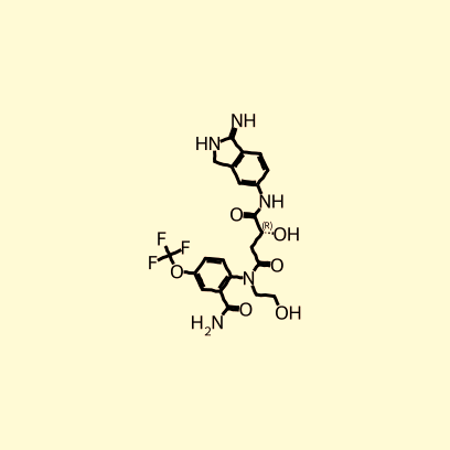 N=C1NCc2cc(NC(=O)[C@H](O)CC(=O)N(CCO)c3ccc(OC(F)(F)F)cc3C(N)=O)ccc21